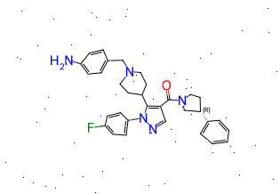 Nc1ccc(CN2CCC(c3c(C(=O)N4CC[C@H](c5ccccc5)C4)cnn3-c3ccc(F)cc3)CC2)cc1